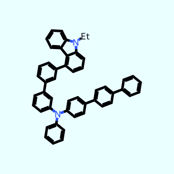 CCn1c2ccccc2c2c(-c3cccc(-c4cccc(N(c5ccccc5)c5ccc(-c6ccc(-c7ccccc7)cc6)cc5)c4)c3)cccc21